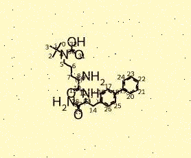 CC(C)(C)N(CCC[C@H](N)C(=O)N[C@@H](Cc1ccc(-c2ccccc2)cc1)C(N)=O)C(=O)O